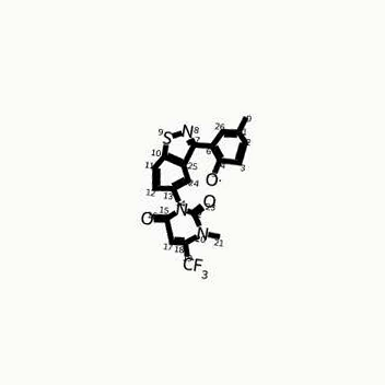 Cc1ccc([O])c(-c2nsc3ccc(-n4c(=O)cc(C(F)(F)F)n(C)c4=O)cc23)c1